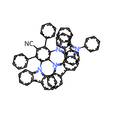 N#Cc1c(-c2ccccc2)c(-n2c3ccccc3c3ccccc32)c(-n2c3ccccc3c3ccc4c(c5ccccc5n4-c4ccccc4)c32)c(-n2c3ccccc3c3ccccc32)c1-c1ccccc1